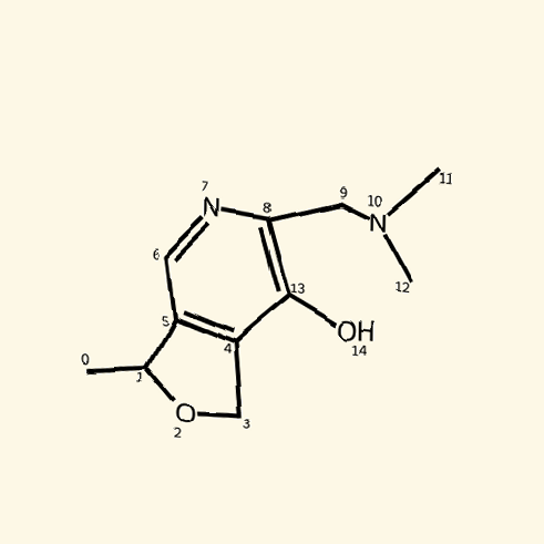 CC1OCc2c1cnc(CN(C)C)c2O